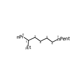 C[CH]CC(CC)CCCCCCCCC